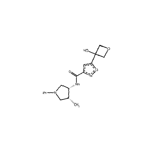 CC(C)N1C[C@@H](C)[C@@H](NC(=O)c2cc(C3(O)COC3)on2)C1